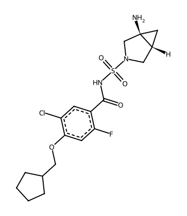 N[C@@]12C[C@@H]1CN(S(=O)(=O)NC(=O)c1cc(Cl)c(OCC3CCCC3)cc1F)C2